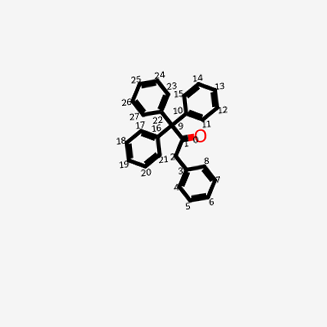 O=C(Cc1ccccc1)C(c1ccccc1)(c1ccccc1)c1ccccc1